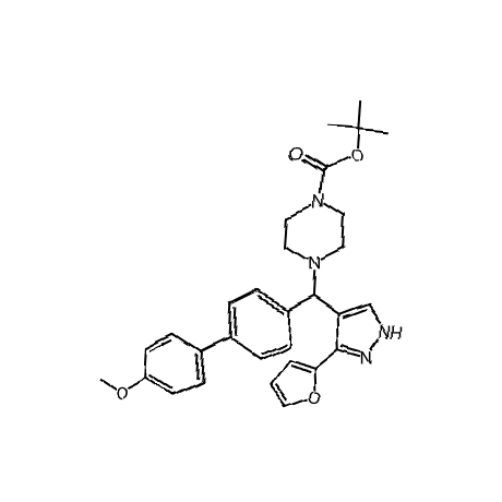 COc1ccc(-c2ccc(C(c3c[nH]nc3-c3ccco3)N3CCN(C(=O)OC(C)(C)C)CC3)cc2)cc1